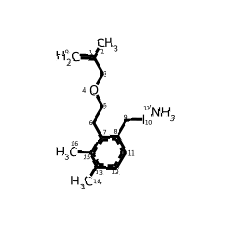 C=C(C)COCCc1c(CI)ccc(C)c1C.N